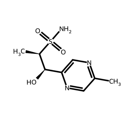 Cc1cnc([C@@H](O)[C@@H](C)S(N)(=O)=O)cn1